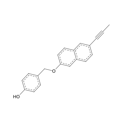 CC#Cc1ccc2cc(OCc3ccc(O)cc3)ccc2c1